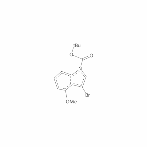 COc1cccc2c1c(Br)cn2C(=O)OC(C)(C)C